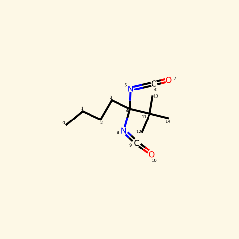 CCCCC(N=C=O)(N=C=O)C(C)(C)C